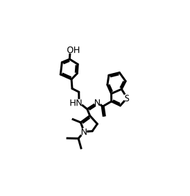 C=C(/N=C(/NCCc1ccc(O)cc1)C1=C(C)N(C(C)C)CC1)c1csc2ccccc12